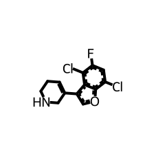 Fc1cc(Cl)c2occ(C3=CCCNC3)c2c1Cl